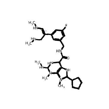 CN/C=C(\CNC)c1cc(F)cc(CNC(=O)C2NC(NC)N(C)C3=C2NC(C2CCCC2)N3C)c1